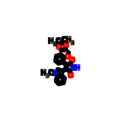 Cn1cc(C2=C(c3ccccc3OC[C@@H]3COC(C)(C)O3)C(=O)NC2=O)c2ccccc21